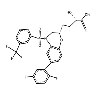 O=C(O)[C@@H](O)CC[C@H]1CN(S(=O)(=O)c2cccc(C(F)(F)F)c2)c2cc(-c3cc(F)ccc3F)ccc2O1